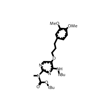 CCCCNc1nc(N(C)C(=O)OC(C)(C)C)ncc1OCCCc1ccc(OC)c(OC)c1